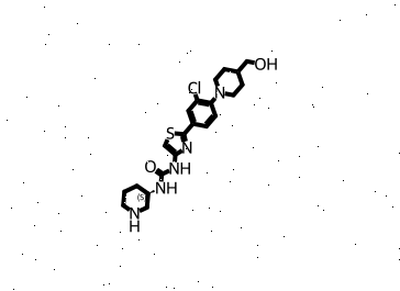 O=C(Nc1csc(-c2ccc(N3CCC(CO)CC3)c(Cl)c2)n1)N[C@H]1CCCNC1